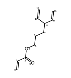 C=CC(=O)OCCCC(C=C)C=C